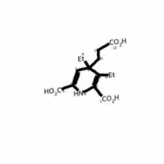 CCC1=C(C(=O)O)NC(C(=O)O)=CC1(CC)CCC(=O)O